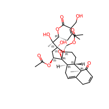 CC(=O)OC[C@]12CC[C@H]3[C@@H](CC=C4CC=CC(=O)[C@@]43C)[C@]1(O)[C@@H](OC(C)=O)C[C@@]2(O)[C@@](C)(O)[C@H]1CC(C)=C(CO)C(=O)O1